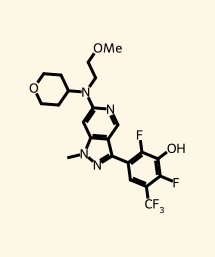 COCCN(c1cc2c(cn1)c(-c1cc(C(F)(F)F)c(F)c(O)c1F)nn2C)C1CCOCC1